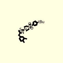 Cc1ccc(Cc2csc(N3CCN(S(=O)(=O)c4ccc(C(C)(C)C)cc4)CC3)n2)cc1C